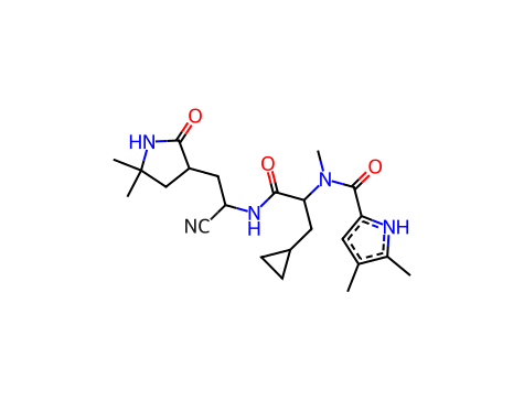 Cc1cc(C(=O)N(C)C(CC2CC2)C(=O)NC(C#N)CC2CC(C)(C)NC2=O)[nH]c1C